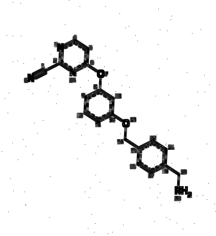 N#Cc1nccc(Oc2cccc(OCc3ccc(CN)cc3)c2)n1